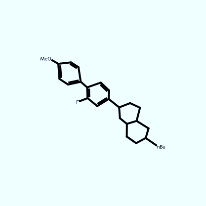 CCCCC1CCC2CC(c3ccc(-c4ccc(OC)cc4)c(F)c3)CCC2C1